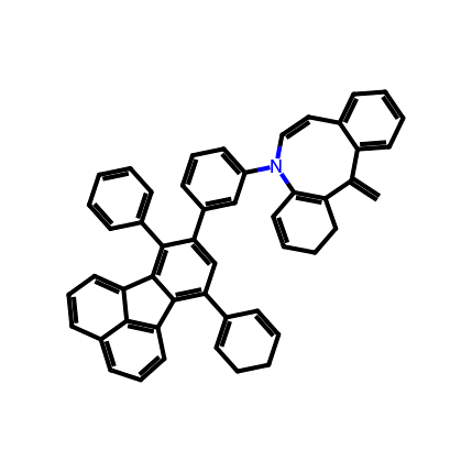 C=C1C2=C(C=CCC2)N(c2cccc(-c3cc(C4=CCCC=C4)c4c(c3-c3ccccc3)-c3cccc5cccc-4c35)c2)/C=C\c2ccccc21